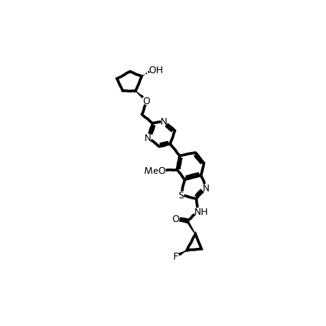 COc1c(-c2cnc(CO[C@H]3CCC[C@@H]3O)nc2)ccc2nc(NC(=O)[C@H]3C[C@H]3F)sc12